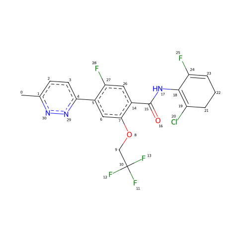 Cc1ccc(-c2cc(OCC(F)(F)F)c(C(=O)NC3=C(Cl)CCC=C3F)cc2F)nn1